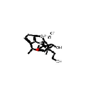 CC1C2=CC[C](=C2[Si](C)(C)CCO)[Zr+2][C]2=C([Si](C)(C)CCO)C1=CC2.[Cl-].[Cl-]